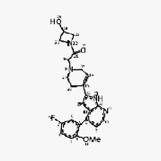 COc1ccc(F)cc1-c1ccnc2[nH]c(C3=CCN(CC(=O)N4CC(O)C4)CC3)cc12